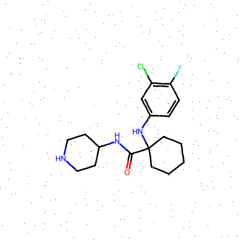 O=C(NC1CCNCC1)C1(Nc2ccc(F)c(Cl)c2)C[CH]CCC1